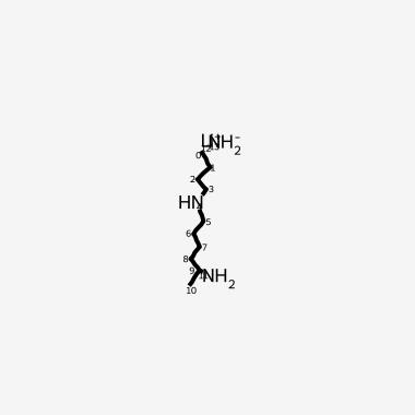 CCCCNCCCCC(C)N.[Li+].[NH2-]